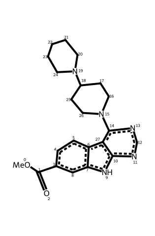 COC(=O)c1ccc2c(c1)[nH]c1ncnc(N3CCC(N4CCCCC4)CC3)c12